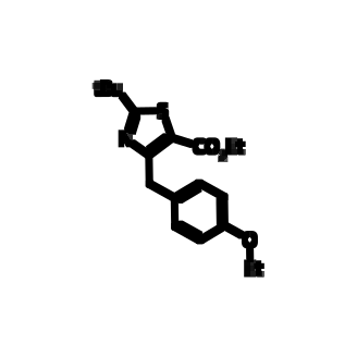 CCOC(=O)c1sc(C(C)(C)C)nc1Cc1ccc(OCC)cc1